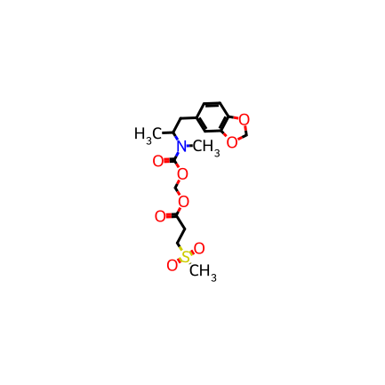 CC(Cc1ccc2c(c1)OCO2)N(C)C(=O)OCOC(=O)CCS(C)(=O)=O